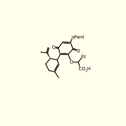 C=C(C)[C@@H]1CCC(C)=CC1C1=C(OC(CC)C(=O)O)C(=O)C(CCCCC)=CC1=O